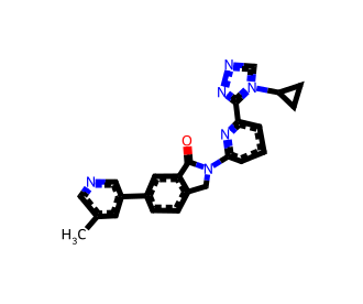 Cc1cncc(-c2ccc3c(c2)C(=O)N(c2cccc(-c4nncn4C4CC4)n2)C3)c1